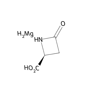 O=C1C[C@@H](C(=O)O)N1.[MgH2]